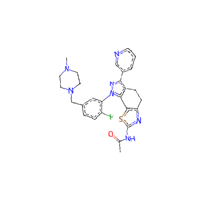 CC(=O)Nc1nc2c(s1)-c1c(c(-c3cccnc3)nn1-c1cc(CN3CCN(C)CC3)ccc1F)CC2